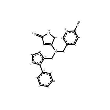 O=C1C=C(N(Cc2ccc(Cl)nc2)Cc2ccnn2-c2ccccc2)CO1